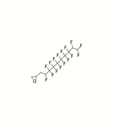 FC(F)C(F)C(F)(F)C(F)(F)C(F)(F)C(F)(F)C(F)(F)C(F)(F)C(F)CC1CO1